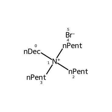 CCCCCCCCCC[N+](CCCCC)(CCCCC)CCCCC.[Br-]